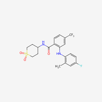 Cc1cc(F)ccc1Nc1cc(C(F)(F)F)ccc1C(=O)NC1CCS(=O)(=O)CC1